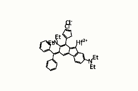 CCN(CC)c1ccc2c(c1)[C]([Hf+2])=c1c-2cc(=C(c2ccccc2)c2ccccc2)c(N(CC)CC)c1C1=CC=CC1.[Cl-].[Cl-]